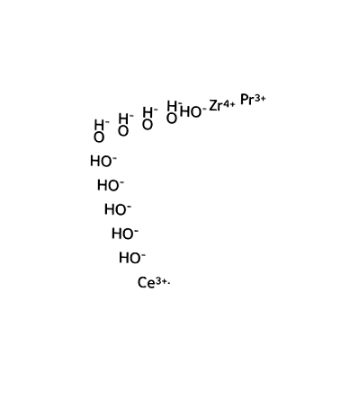 [Ce+3].[OH-].[OH-].[OH-].[OH-].[OH-].[OH-].[OH-].[OH-].[OH-].[OH-].[Pr+3].[Zr+4]